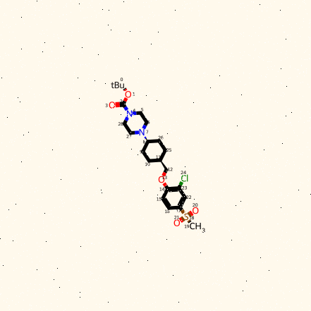 CC(C)(C)OC(=O)N1CCN([C@H]2CC[C@H](COc3ccc(S(C)(=O)=O)cc3Cl)CC2)CC1